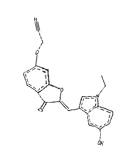 CCn1cc(C=C2Oc3cc(OCC#N)ccc3C2=O)c2cc(O)ccc21